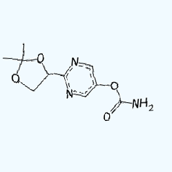 CC1(C)OCC(c2ncc(OC(N)=O)cn2)O1